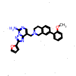 COc1ccccc1-c1ccc2c(c1)CN(Cc1cnc(N)n3nc(-c4ccco4)nc13)CC2